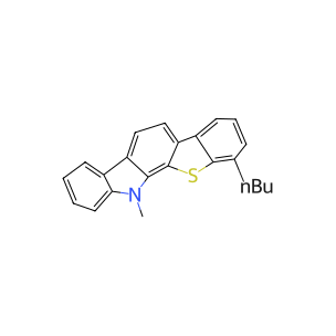 CCCCc1cccc2c1sc1c2ccc2c3ccccc3n(C)c21